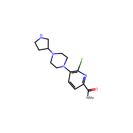 CNC(=O)c1ccc(N2CCN(C3CCNC3)CC2)c(F)n1